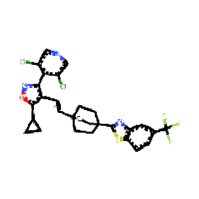 FC(F)(F)c1ccc2sc(C34CCC(/C=C/c5c(-c6c(Cl)cncc6Cl)noc5C5CC5)(CC3)CC4)nc2c1